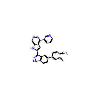 C=C/C=C\C(=C/C)c1ccc2[nH]nc(-c3cc4c(-c5cccnc5)cncc4[nH]3)c2c1